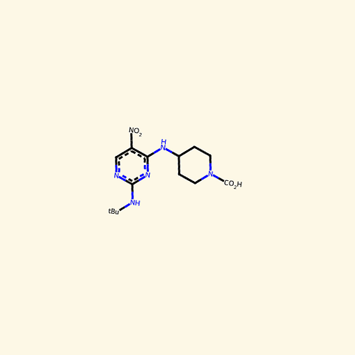 CC(C)(C)Nc1ncc([N+](=O)[O-])c(NC2CCN(C(=O)O)CC2)n1